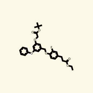 CCOC(=O)CCc1ccc(OCc2cc(OCC(=O)OC(C)(C)C)cc(Oc3ccccc3)c2)c(F)c1